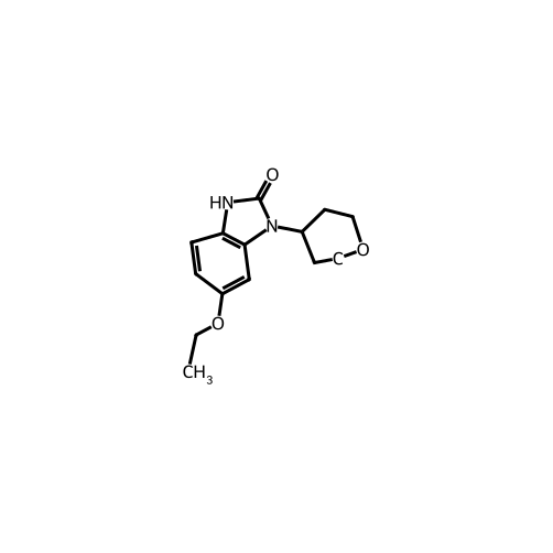 CCOc1ccc2[nH]c(=O)n(C3CCOCC3)c2c1